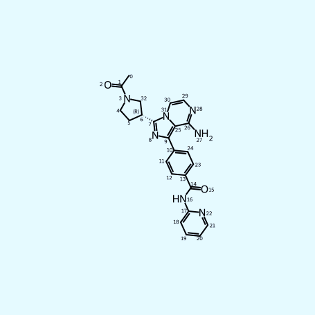 CC(=O)N1CC[C@@H](c2nc(-c3ccc(C(=O)Nc4ccccn4)cc3)c3c(N)nccn23)C1